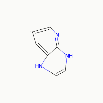 [c]1cnc2c(c1)NC=CN2